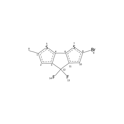 Cc1cc2c(s1)-c1sc(Br)cc1C2(F)F